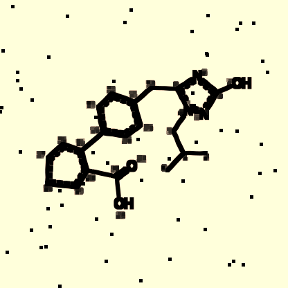 CC(C)Cn1nc(O)nc1Cc1ccc(-c2ccccc2C(=O)O)cc1